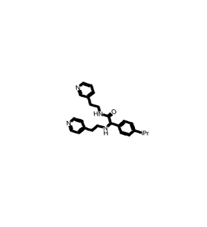 CC(C)c1ccc(C(NCCc2ccncc2)C(=O)NCCc2cccnc2)cc1